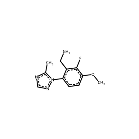 COc1ccc(-n2ncnc2C)c(CN)c1F